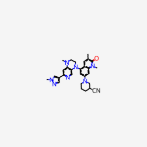 Cc1cc2c(N3CCN(C)c4cc(-c5cnn(C)c5)ncc43)cc(N3CCCC(C#N)C3)cc2n(C)c1=O